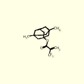 C=C(C(=O)OC12CC3CC(C)(CC(C)(C3)C1)C2)C(F)(F)F